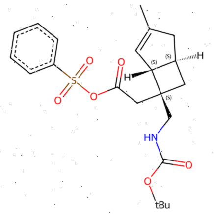 CC1=C[C@@H]2[C@@H](C1)C[C@]2(CNC(=O)OC(C)(C)C)CC(=O)OS(=O)(=O)c1ccccc1